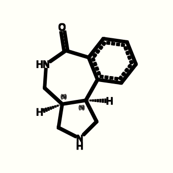 O=C1NC[C@@H]2CNC[C@@H]2c2ccccc21